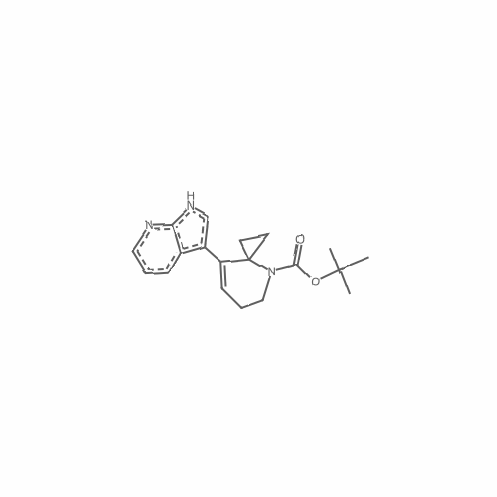 CC(C)(C)OC(=O)N1CCC=C(c2c[nH]c3ncccc23)C12CC2